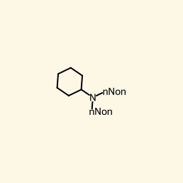 CCCCCCCCCN(CCCCCCCCC)C1CCCCC1